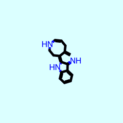 C=C1C/C=C\NCC/C1=C1\Nc2ccccc2C1=N